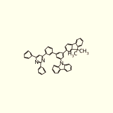 CC1(C)c2ccccc2-c2ccc(-c3cc(-c4cccc(-c5cc(-c6ccccc6)nc(-c6ccccc6)n5)c4)cc(-n4c5ccccc5c5ccccc54)c3)cc21